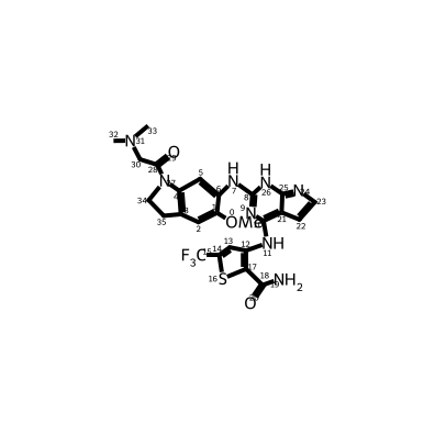 COc1cc2c(cc1Nc1nc(Nc3cc(C(F)(F)F)sc3C(N)=O)c3ccnc-3[nH]1)N(C(=O)CN(C)C)CC2